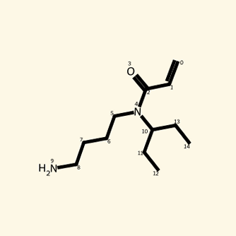 C=CC(=O)N(CCCCN)C(CC)CC